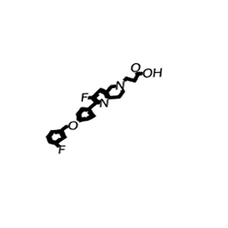 O=C(O)CCN1CCc2nc(-c3ccc(OCc4cccc(F)c4)cc3)c(F)cc2C1